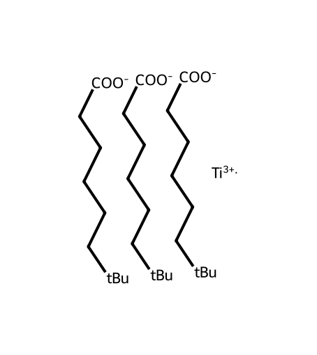 CC(C)(C)CCCCCC(=O)[O-].CC(C)(C)CCCCCC(=O)[O-].CC(C)(C)CCCCCC(=O)[O-].[Ti+3]